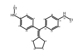 CCNc1ccc(C(=C2CCCC2)c2ccc(NCC)cc2)cc1